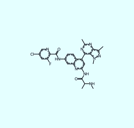 CNC(C)C(=O)Nc1cc(-c2nc(C)nc3c(C)nn(C)c23)c2ccc(NC(=O)c3ncc(Cl)cc3F)cc2n1